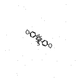 C=P1(c2ccc(OC)cc2)SP(=S)(c2ccc(OC)cc2)S1